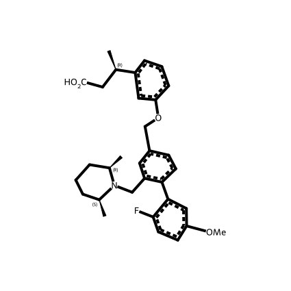 COc1ccc(F)c(-c2ccc(COc3cccc([C@H](C)CC(=O)O)c3)cc2CN2[C@H](C)CCC[C@@H]2C)c1